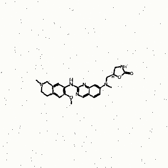 COc1cc2c(cc1Nc1ncc3ccc(N(C)C[C@H]4CNC(=O)O4)cc3n1)CN(C)CC2